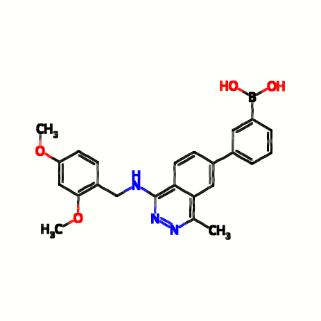 COc1ccc(CNc2nnc(C)c3cc(-c4cccc(B(O)O)c4)ccc23)c(OC)c1